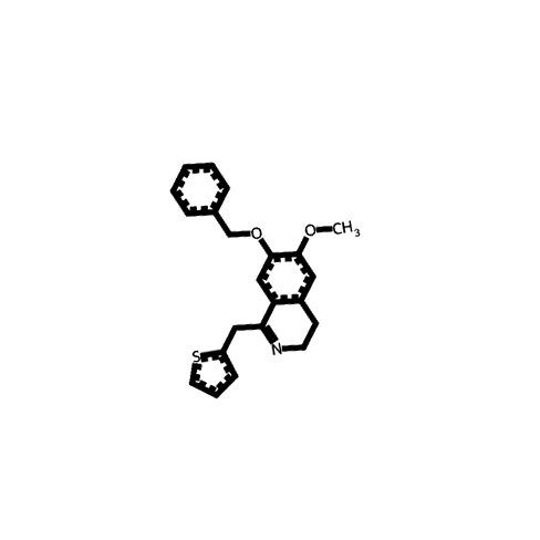 COc1cc2c(cc1OCc1ccccc1)C(Cc1cccs1)=NCC2